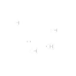 CCC(OC)C(C)C